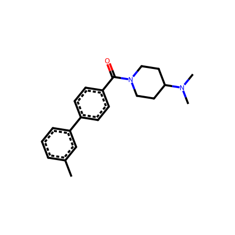 Cc1cccc(-c2ccc(C(=O)N3CCC(N(C)C)CC3)cc2)c1